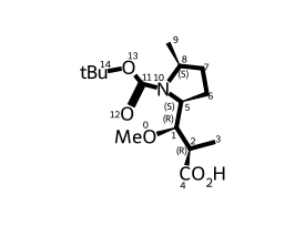 CO[C@H]([C@@H](C)C(=O)O)[C@@H]1CC[C@H](C)N1C(=O)OC(C)(C)C